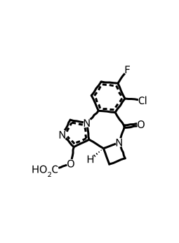 O=C(O)Oc1ncn2c1[C@@H]1CCN1C(=O)c1c-2ccc(F)c1Cl